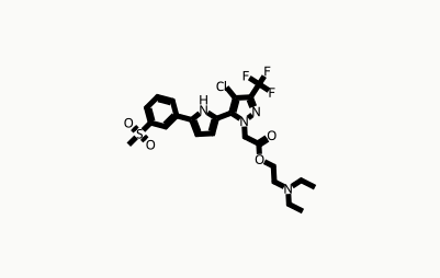 CCN(CC)CCOC(=O)Cn1nc(C(F)(F)F)c(Cl)c1-c1ccc(-c2cccc(S(C)(=O)=O)c2)[nH]1